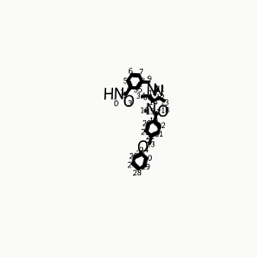 CNC(=O)c1cccc(Cn2nc(C)c(N(C)C(=O)c3ccc(COc4ccccc4)cc3)c2C)c1